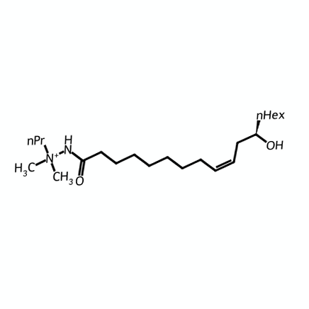 CCCCCC[C@@H](O)C/C=C\CCCCCCCC(=O)N[N+](C)(C)CCC